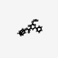 CC(C)(C)OC(=O)N[C@@H](CCc1ccccc1)C(=O)OC12CC3CC(C1)C(C3)C2